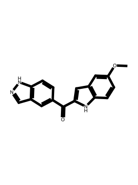 COc1ccc2[nH]c(C(=O)c3ccc4[nH]ncc4c3)cc2c1